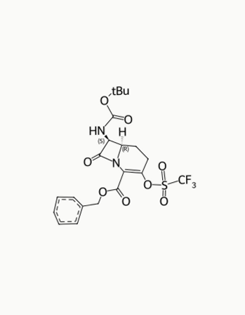 CC(C)(C)OC(=O)N[C@@H]1C(=O)N2C(C(=O)OCc3ccccc3)=C(OS(=O)(=O)C(F)(F)F)CC[C@H]12